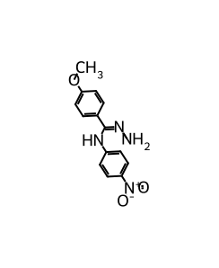 COc1ccc(/C(=N/N)Nc2ccc([N+](=O)[O-])cc2)cc1